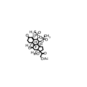 CC(=O)OCC(=O)[C@@]1(O)CC[C@H]2[C@@H]3C(OS(C)(=O)=O)C(OS(C)(=O)=O)C4=CC(=O)CC[C@]4(C)[C@@]3(F)C(=O)C[C@@]21C